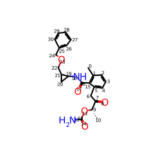 Cc1cccc(CC(=O)[C@H](C)OC(N)=O)c1C(=O)NC1CC1COCc1ccccc1